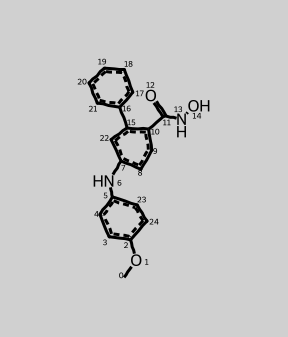 COc1ccc(Nc2ccc(C(=O)NO)c(-c3ccccc3)c2)cc1